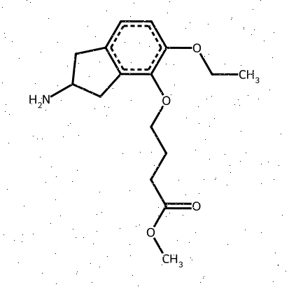 CCOc1ccc2c(c1OCCCC(=O)OC)CC(N)C2